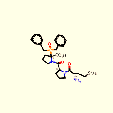 CSCC[C@H](N)C(=O)N1CCC[C@H]1C(=O)N1CCC[C@]1(C(=O)O)P(=O)(Cc1ccccc1)Cc1ccccc1